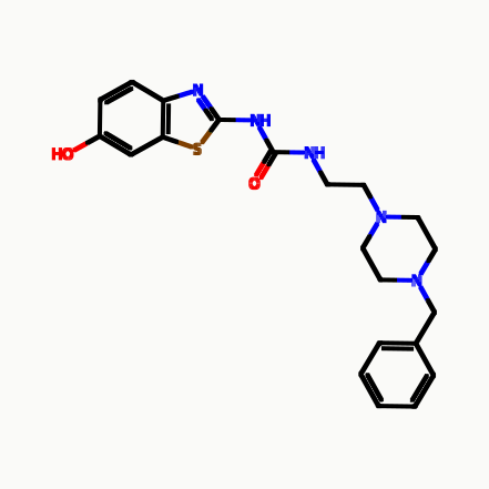 O=C(NCCN1CCN(Cc2ccccc2)CC1)Nc1nc2ccc(O)cc2s1